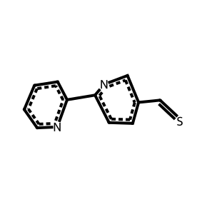 S=Cc1ccc(-c2ccccn2)nc1